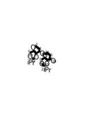 Cc1occc(=O)c1OC(=O)C(C)C.Cc1occc(=O)c1OC(=O)C(C)C